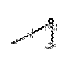 CCCCOCCOCCOC(=O)NCCCCCCNC(=O)N[C@H]1CCCC[C@@H]1NC(=O)NCCCCCCNC(=O)OC